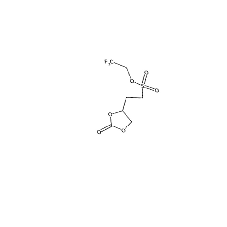 O=C1OCC(CCS(=O)(=O)OCC(F)(F)F)O1